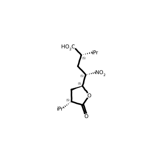 CC(C)[C@H](C[C@@H]([C@@H]1C[C@@H](C(C)C)C(=O)O1)[N+](=O)[O-])C(=O)O